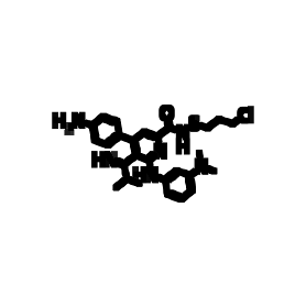 CC(C)C(=N)c1c(-c2ccc(N)cc2)cc(C(=O)NSCCCCl)nc1Nc1cccc(N(C)C)c1